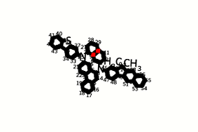 CC1(C)c2cc(N(c3ccccc3)c3cc4ccccc4c4ccc(N(c5ccccc5)c5ccc6c(c5)sc5ccccc56)cc34)ccc2-c2cc3ccccc3cc21